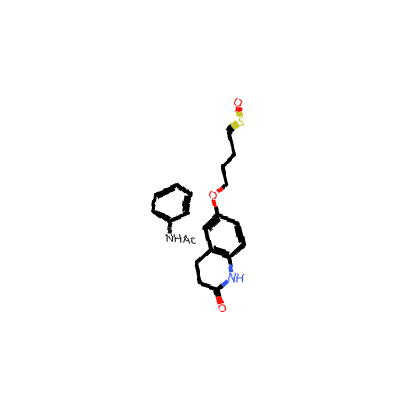 CC(=O)Nc1ccccc1.O=S=CCCCOc1ccc2c(c1)CCC(=O)N2